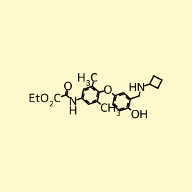 CCOC(=O)C(=O)Nc1cc(C)c(Oc2ccc(O)c(CNC3CCC3)c2)c(C)c1